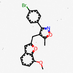 COc1cccc2cc(Cc3c(-c4ccc(Br)cc4)noc3C)oc12